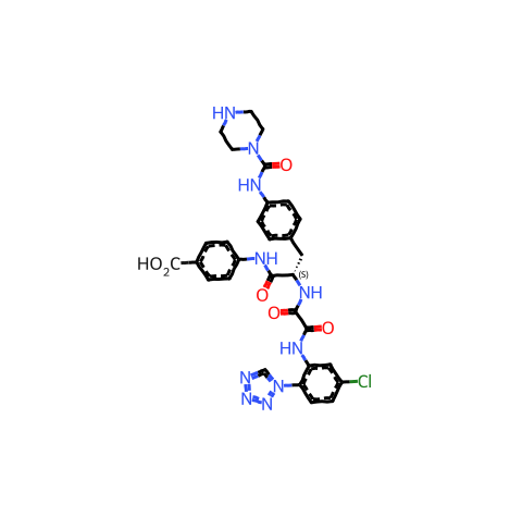 O=C(Nc1cc(Cl)ccc1-n1cnnn1)C(=O)N[C@@H](Cc1ccc(NC(=O)N2CCNCC2)cc1)C(=O)Nc1ccc(C(=O)O)cc1